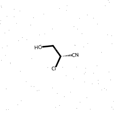 N#C[C@H](Cl)CO